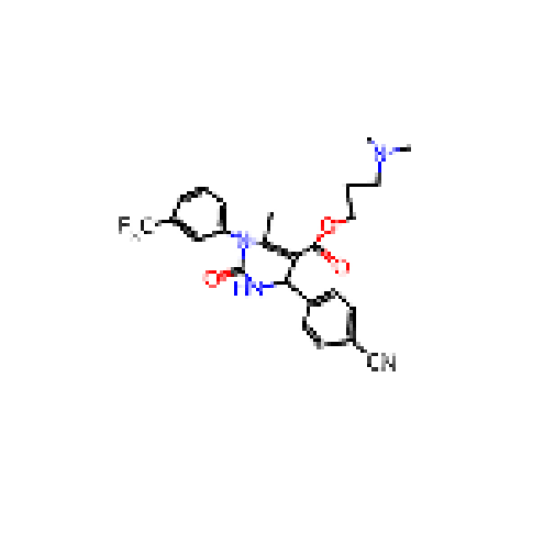 CC1=C(C(=O)OCCCN(C)C)C(c2ccc(C#N)cc2)NC(=O)N1c1cccc(C(F)(F)F)c1